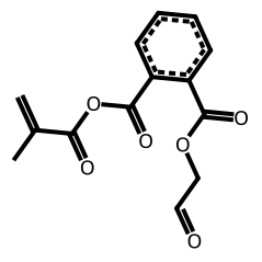 C=C(C)C(=O)OC(=O)c1ccccc1C(=O)OCC=O